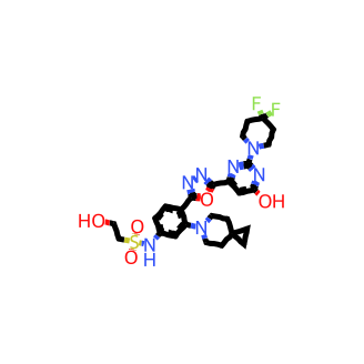 O=S(=O)(CCO)Nc1ccc(-c2nnc(-c3cc(O)nc(N4CCC(F)(F)CC4)n3)o2)c(N2CCC3(CC2)CC3)c1